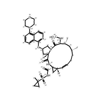 C[C@@H]1CCC=C[C@@H]2C[C@@]2(C(=O)NS(=O)(=O)C2(C)CC2)NC(=O)[C@@H]2C[C@@H](Oc3nccc4c(N5CCOCC5)cccc34)CN2C(=O)[C@@H](NC(=O)O)[C@H](C)C1